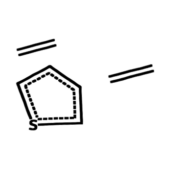 C=C.C=C.c1ccsc1